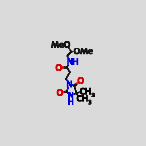 COC(CNC(=O)CCN1C(=O)NC(C)(C)C1=O)OC